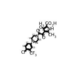 Cc1[nH]c(C(=O)O)c(C)c1C(=O)C(=O)N1CCN(c2ccc(Cl)c(C(F)(F)F)c2)CC1